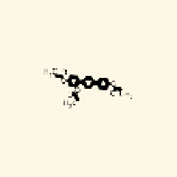 C=CC(=O)Oc1ccc(-c2ccc(-c3ccc(OC(=O)C=C)cc3OC(=O)C=C)cc2)cc1